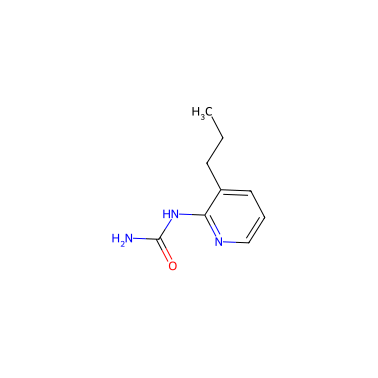 CCCc1cccnc1NC(N)=O